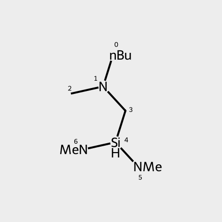 CCCCN(C)C[SiH](NC)NC